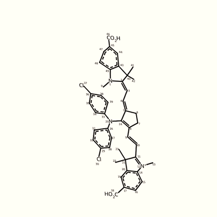 CN1C(=CC=C2CCC(C=CC3=[N+](C)c4ccc(C(=O)O)cc4C3(C)C)=C2N(c2ccc(Cl)cc2)c2ccc(Cl)cc2)C(C)(C)c2cc(C(=O)O)ccc21